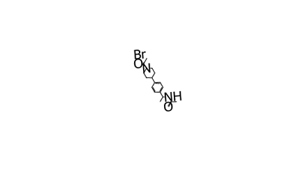 CC(=O)NC(C)c1ccc(C2CCN(C(=O)CBr)CC2)cc1